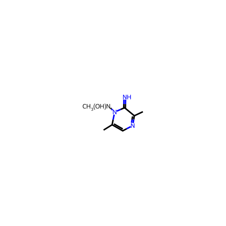 Cc1ncc(C)n(N(C)O)c1=N